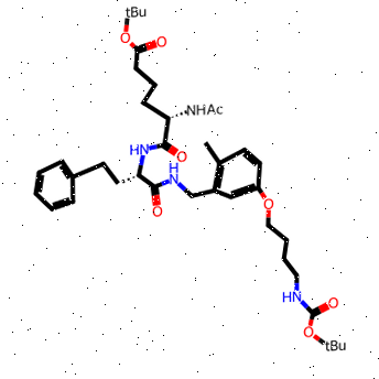 CC(=O)N[C@@H](CCCC(=O)OC(C)(C)C)C(=O)N[C@@H](CCc1ccccc1)C(=O)NCc1cc(OCCCCNC(=O)OC(C)(C)C)ccc1C